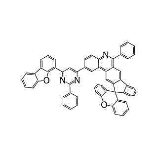 c1ccc(-c2nc(-c3ccc4nc(-c5ccccc5)c5cc6c(cc5c4c3)C3(c4ccccc4Oc4ccccc43)c3ccccc3-6)cc(-c3cccc4c3oc3ccccc34)n2)cc1